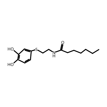 CCCCCCC(=O)NCCSc1ccc(O)c(O)c1